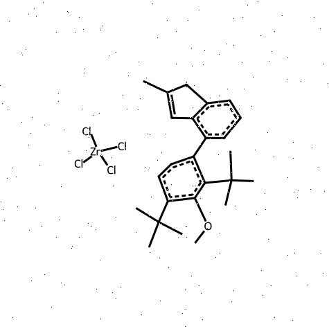 COc1c(C(C)(C)C)ccc(-c2cccc3c2C=C(C)[CH]3)c1C(C)(C)C.[Cl][Zr]([Cl])([Cl])[Cl]